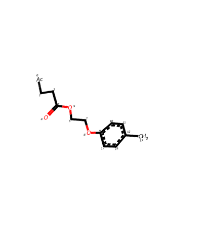 CC(=O)CCC(=O)OCCOc1ccc(C)cc1